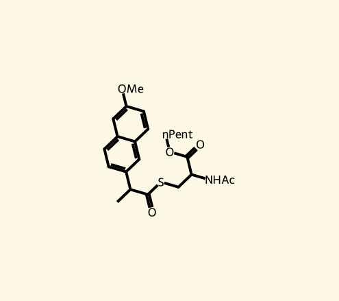 CCCCCOC(=O)C(CSC(=O)C(C)c1ccc2cc(OC)ccc2c1)NC(C)=O